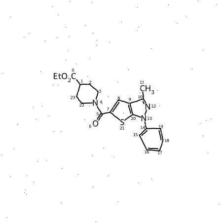 CCOC(=O)C1CCN(C(=O)c2cc3c(C)nn(-c4ccccc4)c3s2)CC1